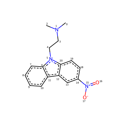 CN(C)CCn1c2ccccc2c2cc([N+](=O)[O-])ccc21